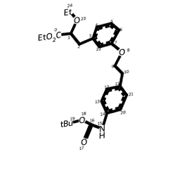 CCOC(=O)C(Cc1cccc(OCCc2ccc(NC(=O)OC(C)(C)C)cc2)c1)OCC